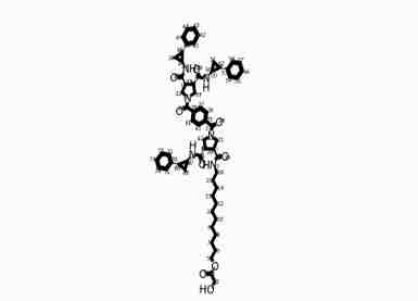 O=C(CO)OCCCCCCCCCCCCNC(=O)[C@@H]1CN(C(=O)c2ccc(C(=O)N3C[C@@H](C(=O)N[C@H]4C[C@@H]4c4ccccc4)[C@H](C(=O)N[C@H]4C[C@@H]4c4ccccc4)C3)cc2)C[C@H]1C(=O)N[C@H]1C[C@@H]1c1ccccc1